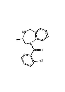 C[C@@H]1CN(C(=O)c2ccccc2Cl)c2ccccc2CN1